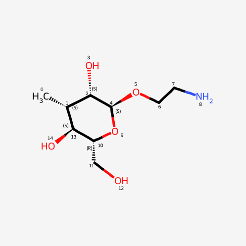 C[C@@H]1[C@H](O)[C@@H](OCCN)O[C@H](CO)[C@H]1O